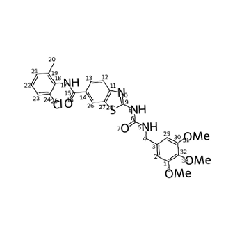 COc1cc(CNC(=O)Nc2nc3ccc(C(=O)Nc4c(C)cccc4Cl)cc3s2)cc(OC)c1OC